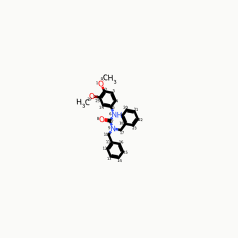 COc1ccc(NC(=O)N(Cc2ccccc2)Cc2ccccc2)cc1OC